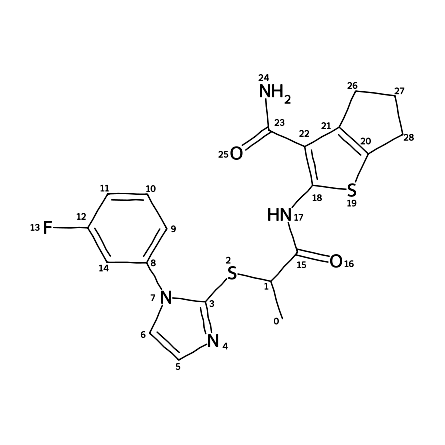 CC(Sc1nccn1-c1cccc(F)c1)C(=O)Nc1sc2c(c1C(N)=O)CCC2